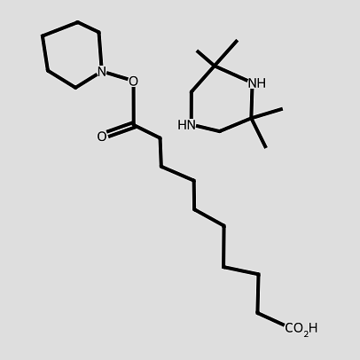 CC1(C)CNCC(C)(C)N1.O=C(O)CCCCCCCCC(=O)ON1CCCCC1